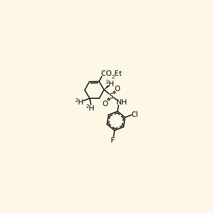 [2H]C1([2H])CC=C(C(=O)OCC)[C@]([2H])(S(=O)(=O)Nc2ccc(F)cc2Cl)C1